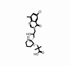 Cc1cc(Cl)cc2c(=O)n(CC(O)C[C@H]3NCCC[C@H]3CC(C)(C)C(=O)O)cnc12